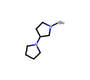 CC(C)(C)N1CCC(N2CCCC2)C1